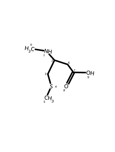 CNC(CSC)CC(=O)O